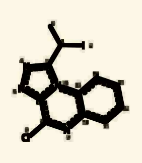 CC(I)c1nnc2c(Cl)nc3ccccc3n12